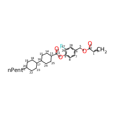 C=CC(=O)OCc1ccc(OC(=O)C2CCC(C3CCC(CCCCC)CC3)CC2)c(F)c1